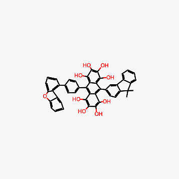 CC1(C)c2ccccc2-c2cc(-c3c4c(O)c(O)c(O)c(O)c4c(-c4ccc(-c5cccc6oc7ccccc7c56)cc4)c4c(O)c(O)c(O)c(O)c34)ccc21